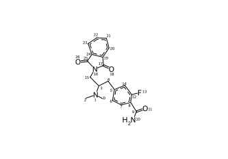 CN(C)C(Cc1ccc(C(N)=O)c(F)c1)CN1C(=O)c2ccccc2C1=O